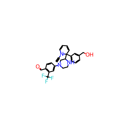 C#CN1C=CC=CC1(c1cccc(CO)c1)C1CN(c2ccc(C=O)c(C(F)(F)F)c2)CCN1